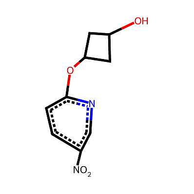 O=[N+]([O-])c1ccc(OC2CC(O)C2)nc1